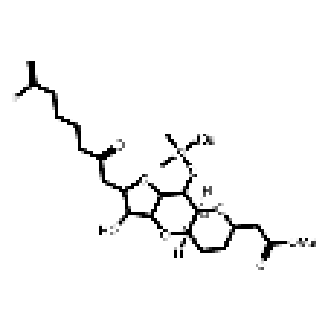 C=C(I)CCCCC(=O)CC1OC2C(O[C@H]3CCC(CC(=O)OC)O[C@@H]3C2O[Si](C)(C)C(C)(C)C)C1O